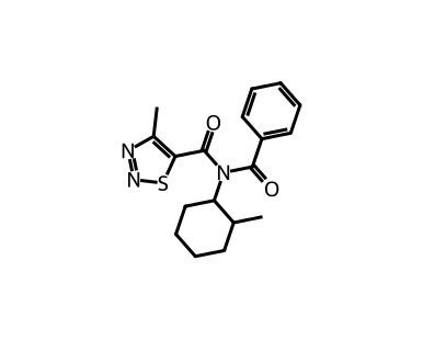 Cc1nnsc1C(=O)N(C(=O)c1ccccc1)C1CCCCC1C